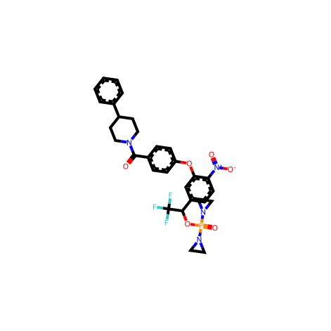 O=C(c1ccc(Oc2cc(C(OP(=O)(N3CC3)N3CC3)C(F)(F)F)ccc2[N+](=O)[O-])cc1)N1CCC(c2ccccc2)CC1